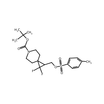 Cc1ccc(S(=O)(=O)OCC2C(F)(F)C23CCN(C(=O)OC(C)(C)C)CC3)cc1